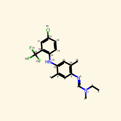 CCN(C)C=Nc1cc(C)c(Nc2ccc(Cl)cc2C(F)(F)F)cc1C